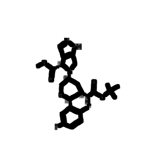 COC(=O)[C@@H]1c2cn[nH]c2CN1[C@H]1CO[C@H](c2cc(F)ccc2F)[C@@H](NC(=O)OC(C)(C)C)C1